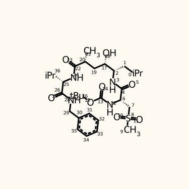 CC(C)C[C@H](NC(=O)[C@H](CS(C)(=O)=O)NC(=O)OC(C)(C)C)[C@@H](O)C[C@@H](C)C(=O)N[C@H](C(=O)NCc1ccccc1)C(C)C